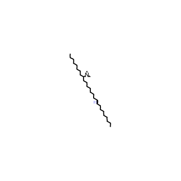 CCCCCCCC/C=C/CCCCCCCC(CCCCCCCC)N(C)C